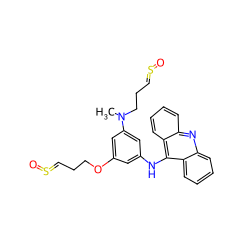 CN(CCC=S=O)c1cc(Nc2c3ccccc3nc3ccccc23)cc(OCCC=S=O)c1